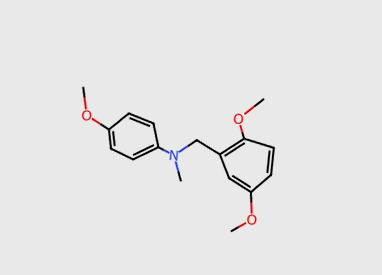 COc1ccc(N(C)Cc2cc(OC)ccc2OC)cc1